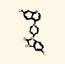 O=c1[nH]c2cc(Cl)ccc2n1C1CCN(c2ccnc3cc(Cl)ccc23)CC1